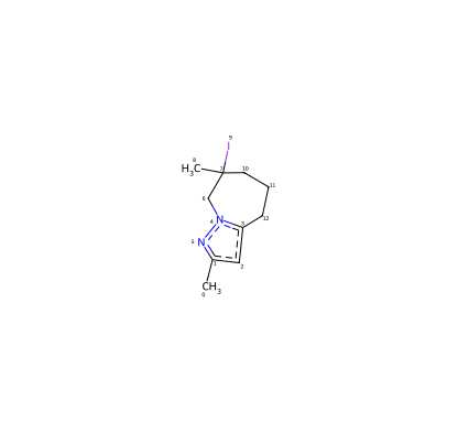 Cc1cc2n(n1)CC(C)(I)CCC2